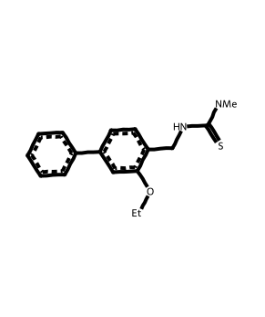 CCOc1cc(-c2ccccc2)ccc1CNC(=S)NC